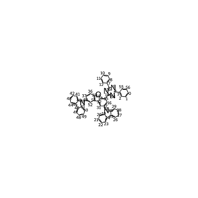 c1ccc(-c2nc(-c3ccccc3)nc(-c3cc(-n4c5ccccc5c5ccccc54)cc4c3oc3ccc(-n5c6ccccc6c6ccccc65)cc34)n2)cc1